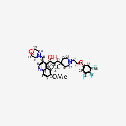 COc1ccc2ncc(CN3CCOCC3)c([C@H](O)CCC3(C(=O)O)CCN(CCOc4cc(F)c(F)c(F)c4)CC3)c2c1